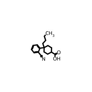 CCCCC1(c2ccccc2C#N)CCC(C(=O)O)CC1